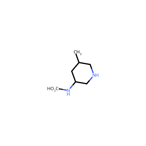 CC1CNCC(NC(=O)O)C1